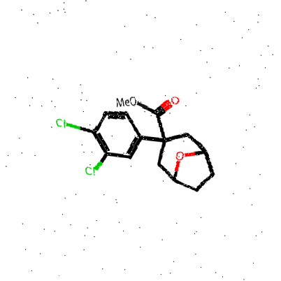 COC(=O)C1(c2ccc(Cl)c(Cl)c2)CC2CCC(C1)O2